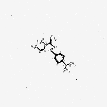 C=C(N=Nc1ccc(N(C)C)cc1)N(C)/C=C\C